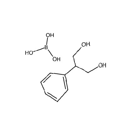 OB(O)O.OCC(CO)c1ccccc1